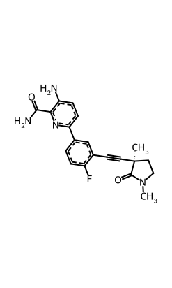 CN1CC[C@](C)(C#Cc2cc(-c3ccc(N)c(C(N)=O)n3)ccc2F)C1=O